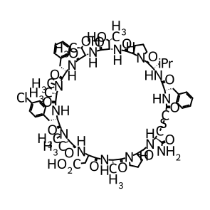 CC(C)[C@@H]1NC(=O)[C@H](Cc2ccccc2)NC(=O)CSC[C@@H](C(N)=O)NC(=O)[C@@H]2CCCN2C(=O)[C@H](C)NC(=O)C(CC(=O)O)NC(=O)[C@H](C)N(C)C(=O)[C@H](Cc2ccc(Cl)cc2)NC(=O)[C@H](C)N(C)C(=O)[C@H](Cc2ccccc2)NC(=O)[C@H]([C@@H](C)O)NC(=O)[C@H]([C@@H](C)O)NC(=O)[C@@H]2CCCN2C1=O